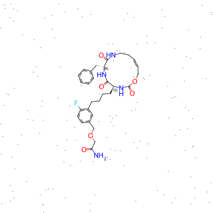 NC(=O)COCc1ccc(F)c(CCCC[C@@H]2NC(=O)OCC=CCCNC(=O)[C@@H](Cc3ccccc3)NC2=O)c1